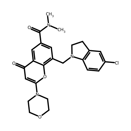 CN(C)C(=O)c1cc(CN2CCc3cc(Cl)ccc32)c2oc(N3CCOCC3)cc(=O)c2c1